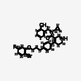 Cc1ccccc1CN(C(=O)C1=C(c2ccc(CCCOc3cc(F)ccc3Br)cc2)CCNC1)C1CC1